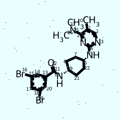 Cc1cnc(N[C@H]2CC[C@@H](NC(=O)c3cc(Br)cc(Br)c3)CC2)nc1N(C)C